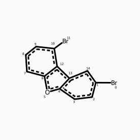 Brc1ccc2oc3cccc(Br)c3c2c1